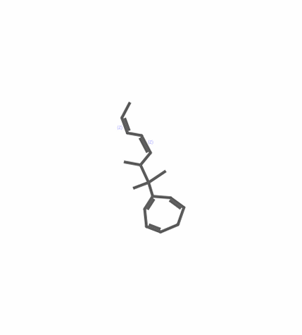 C/C=C\C=C/C(C)C(C)(C)C1=CC=CCC=C1